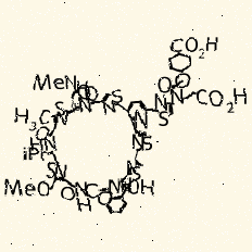 CNC(=O)C[C@@H]1NC(=O)c2csc(n2)-c2ccc(-c3nc(N(CCC(=O)O)C(=O)O[C@H]4CC[C@H](C(=O)O)CC4)cs3)nc2-c2csc(n2)-c2csc(n2)[C@H]([C@@H](O)c2ccccc2)NC(=O)CNC(=O)c2nc(sc2COC)C(C(C)C)NC(=O)c2nc1sc2C